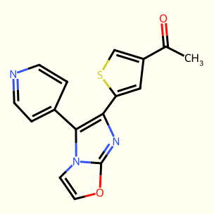 CC(=O)c1csc(-c2nc3occn3c2-c2ccncc2)c1